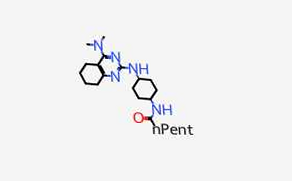 CCCCCC(=O)N[C@H]1CC[C@@H](Nc2nc3c(c(N(C)C)n2)CCCC3)CC1